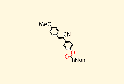 CCCCCCCCCC(=O)Oc1ccc(C(C#N)=Cc2ccc(OC)cc2)cc1